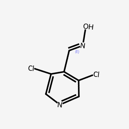 O/N=C/c1c(Cl)cncc1Cl